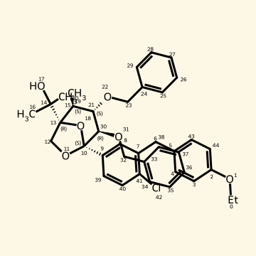 CCOc1ccc(Cc2cc([C@]34OC[C@](C(C)(C)O)(O3)[C@@H](C)[C@H](OCc3ccccc3)[C@H]4OCc3ccccc3)ccc2Cl)cc1